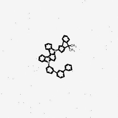 CC1(C)c2ccccc2-c2cc(-n3c4ccccc4c4c5c6ccccc6n(-c6cccc(-c7cccc(-c8ccccc8)c7)c6)c5ccc43)ccc21